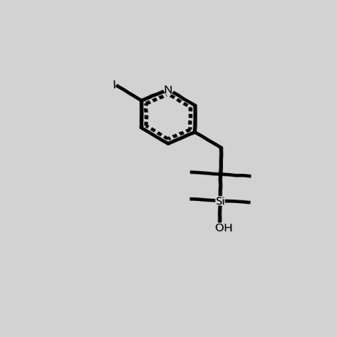 CC(C)(Cc1ccc(I)nc1)[Si](C)(C)O